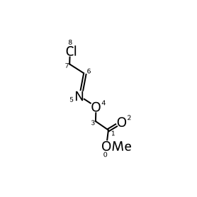 COC(=O)CO/N=C/CCl